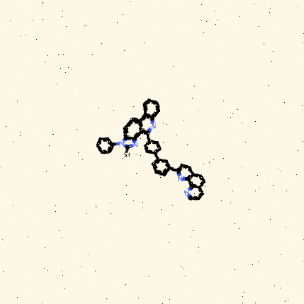 CCc1nc2c3c(-c4ccc(-c5cccc(-c6ccc7ccc8cccnc8c7n6)c5)cc4)nc4ccccc4c3ccc2n1-c1ccccc1